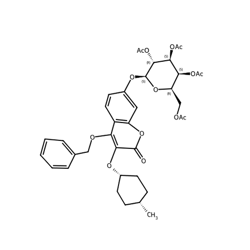 CC(=O)OC[C@H]1O[C@@H](Oc2ccc3c(OCc4ccccc4)c(O[C@H]4CC[C@@H](C)CC4)c(=O)oc3c2)[C@H](OC(C)=O)[C@@H](OC(C)=O)[C@H]1OC(C)=O